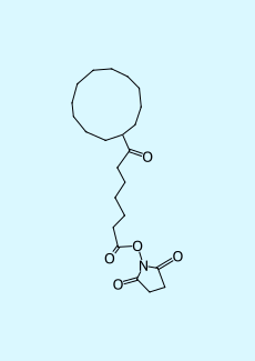 O=C(CCCCCC(=O)C1CCCCCCCCCCC1)ON1C(=O)CCC1=O